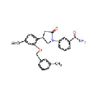 COc1ccc(C2CC(=O)N(c3cccc(C(N)=O)c3)C2)c(OCc2cccc(C)c2)c1